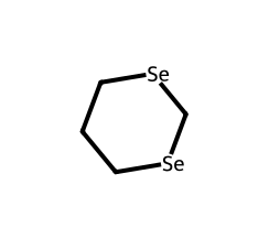 C1C[Se]C[Se]C1